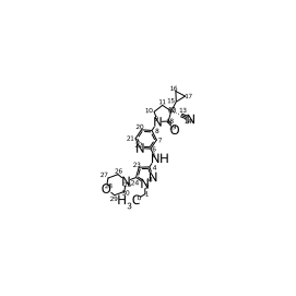 CCn1nc(Nc2cc(N3CC[C@@](C#N)(C4CC4)C3=O)ccn2)cc1N1CCOCC1